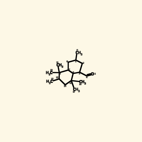 CC1CC(C=O)C2C(C1)C(C)(C)C(C)CC2(C)C